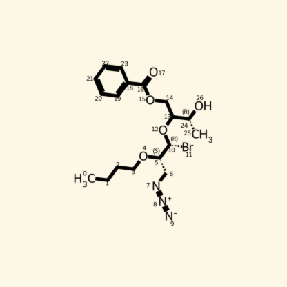 CCCCO[C@@H](CN=[N+]=[N-])[C@@H](Br)OC(COC(=O)c1ccccc1)[C@@H](C)O